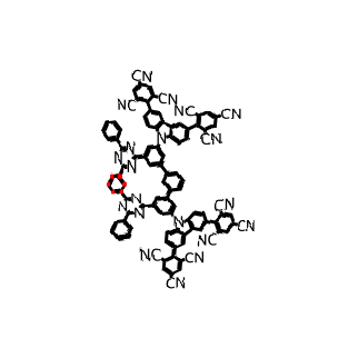 N#Cc1cc(C#N)c(-c2ccc3c(c2)c2cc(-c4c(C#N)cc(C#N)cc4C#N)ccc2n3-c2cc(-c3cccc(-c4cc(-c5nc(-c6ccccc6)nc(-c6ccccc6)n5)cc(-n5c6ccc(-c7c(C#N)cc(C#N)cc7C#N)cc6c6cc(-c7c(C#N)cc(C#N)cc7C#N)ccc65)c4)c3)cc(-c3nc(-c4ccccc4)nc(-c4ccccc4)n3)c2)c(C#N)c1